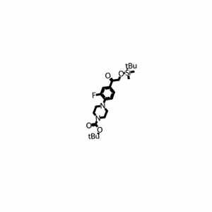 CC(C)(C)OC(=O)N1CCN(c2ccc(C(=O)CO[Si](C)(C)C(C)(C)C)cc2F)CC1